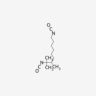 CC(CCCCCCN=C=O)C(C)(C)N=C=O